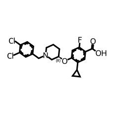 O=C(O)c1cc(C2CC2)c(O[C@@H]2CCCN(Cc3ccc(Cl)c(Cl)c3)C2)cc1F